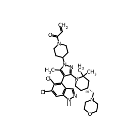 C=CC(=O)N1CCC(n2nc(N3CC[C@@H](CN4CCOCC4)CC3(C)C)c(-c3c(Cl)c(Cl)cc4[nH]ncc34)c2C)CC1